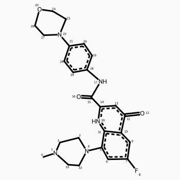 CN1CCN(c2cc(F)cc3c(=O)cc(C(=O)Nc4ccc(N5CCOCC5)cc4)[nH]c23)CC1